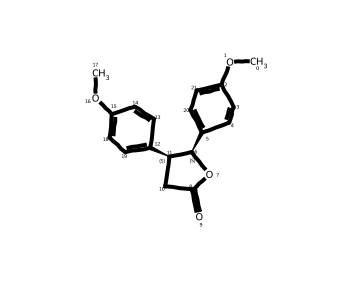 COc1ccc([C@H]2OC(=O)C[C@H]2c2ccc(OC)cc2)cc1